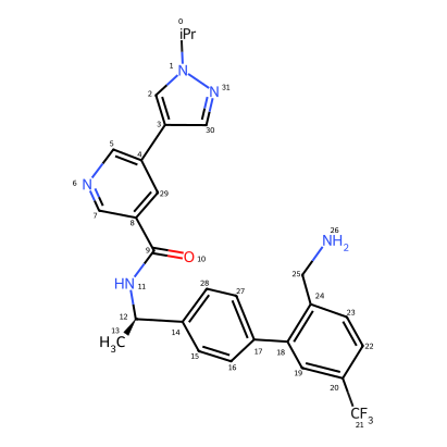 CC(C)n1cc(-c2cncc(C(=O)N[C@H](C)c3ccc(-c4cc(C(F)(F)F)ccc4CN)cc3)c2)cn1